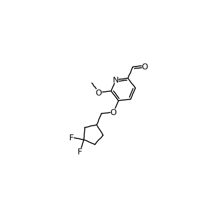 COc1nc(C=O)ccc1OCC1CCC(F)(F)C1